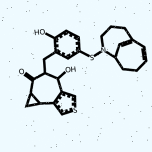 O=C1C(Cc2cc(SN3CCCC4=CC3CCC=C4)ccc2O)C(O)c2cscc2C2CC12